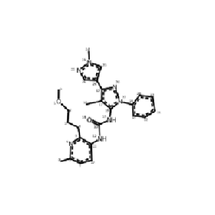 COCCCc1nc(C)ccc1NC(=O)Nc1c(C)c(-c2cnn(C)c2)nn1-c1ccccc1